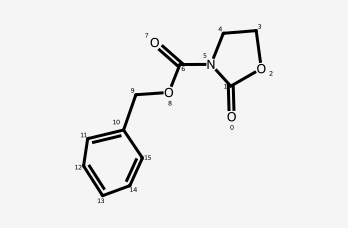 O=C1OCCN1C(=O)OCc1ccccc1